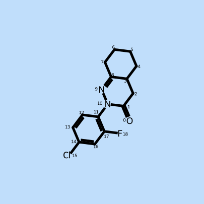 O=C1CC2CCCCC2=NN1c1ccc(Cl)cc1F